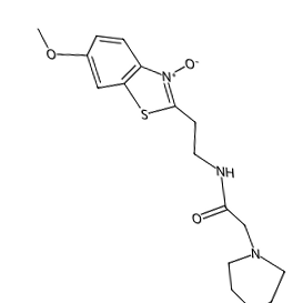 COc1ccc2c(c1)sc(CCNC(=O)CN1CCOCC1)[n+]2[O-]